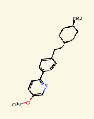 CCCCOc1ccc(-c2ccc(CC[C@H]3CC[C@H](CCCC)CC3)cc2)nc1